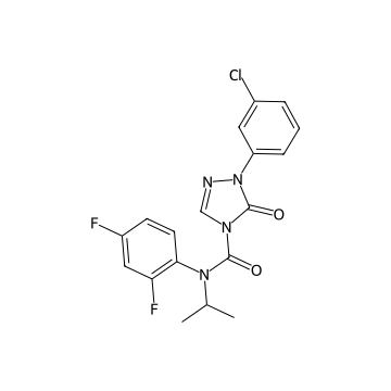 CC(C)N(C(=O)n1cnn(-c2cccc(Cl)c2)c1=O)c1ccc(F)cc1F